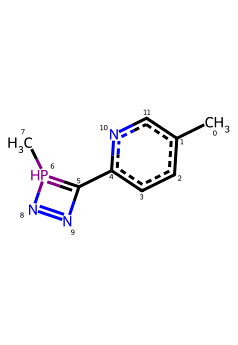 Cc1ccc(C2=[PH](C)N=N2)nc1